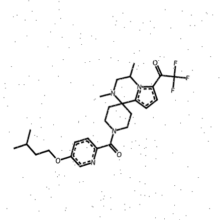 CC(C)CCOc1ccc(C(=O)N2CCC3(CC2)c2ccc(C(=O)C(F)(F)F)n2C(C)CN3C)nc1